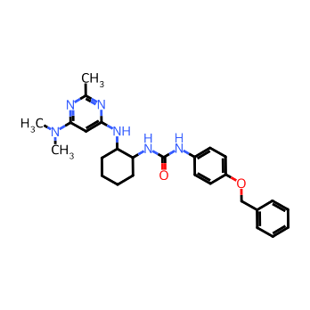 Cc1nc(NC2CCCCC2NC(=O)Nc2ccc(OCc3ccccc3)cc2)cc(N(C)C)n1